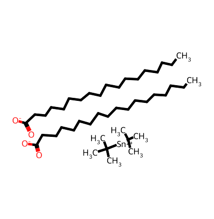 CCCCCCCCCCCCCCCCCC(=O)[O-].CCCCCCCCCCCCCCCCCC(=O)[O-].C[C](C)(C)[Sn+2][C](C)(C)C